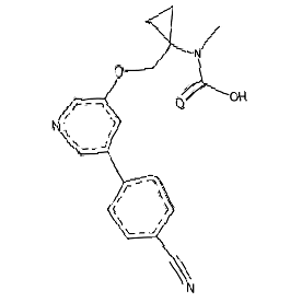 CN(C(=O)O)C1(COc2cncc(-c3ccc(C#N)cc3)c2)CC1